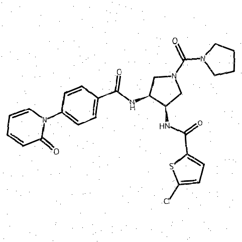 O=C(N[C@H]1CN(C(=O)N2CCCC2)C[C@H]1NC(=O)c1ccc(Cl)s1)c1ccc(-n2ccccc2=O)cc1